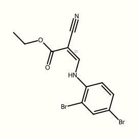 CCOC(=O)/C(C#N)=C\Nc1ccc(Br)cc1Br